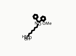 COc1ccccc1-c1oc(CCCCCCC(=O)NO)nc1-c1ccccc1